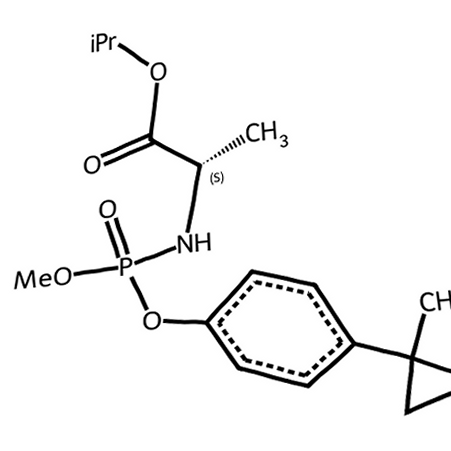 COP(=O)(N[C@@H](C)C(=O)OC(C)C)Oc1ccc(C2(C)CC2)cc1